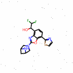 OC(c1ccc(-c2nccs2)c2oc(N3CC4CC(C3)N4)nc12)C(F)F